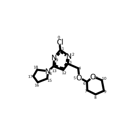 Clc1nc(COC2CCCCO2)cc(N2CCCC2)n1